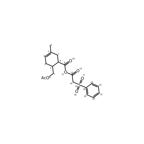 CC(=O)OCC1CC=C(C)CC1C(=O)OC(=O)CS(=O)(=O)c1ccccc1